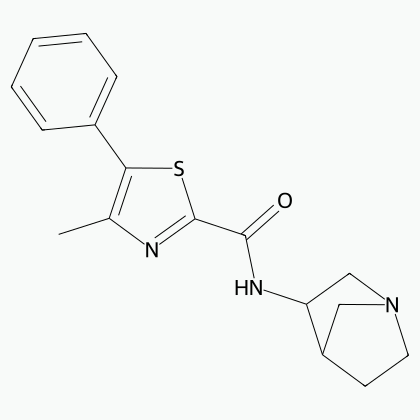 Cc1nc(C(=O)NC2CN3CCC2C3)sc1-c1ccccc1